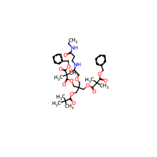 CCNC(=O)CCNC(=O)COCC(COC(=O)C(C)(C)C)(COC(=O)C(C)(C)C(=O)OCc1ccccc1)COC(=O)C(C)(C)C(=O)OCc1ccccc1